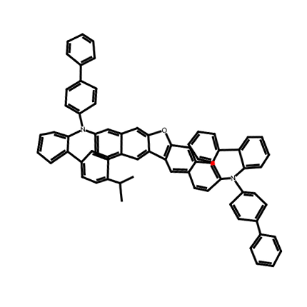 CC(C)c1ccc(-c2ccccc2N(c2ccc(-c3ccccc3)cc2)c2ccc3cc4c(cc3c2)oc2cc3cc(N(c5ccc(-c6ccccc6)cc5)c5ccccc5-c5ccccc5)ccc3cc24)cc1